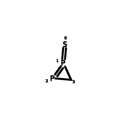 S=P1=PC1